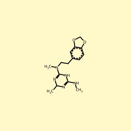 CNC1=NC(C)N=C(N(C)CCc2ccc3c(c2)OCO3)N1